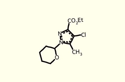 CCOC(=O)c1nn(C2CCCCO2)c(C)c1Cl